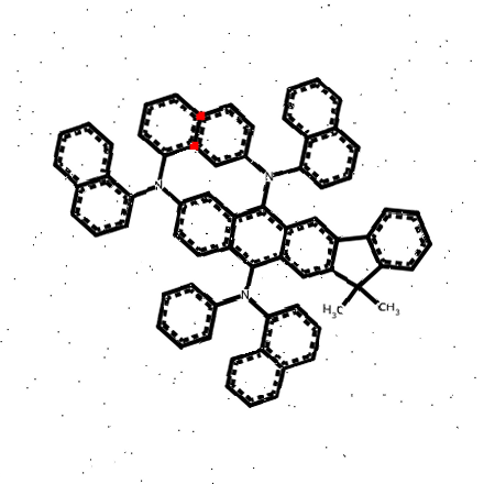 CC1(C)c2ccccc2-c2cc3c(N(c4ccccc4)c4cccc5ccccc45)c4cc(N(c5ccccc5)c5cccc6ccccc56)ccc4c(N(c4ccccc4)c4cccc5ccccc45)c3cc21